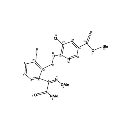 CNC(=O)/C(=N\OC)c1cccc(F)c1COc1ncc(C(=O)OC(C)(C)C)cc1Cl